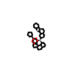 c1ccc(-c2cccc(N(c3ccc4ccc5c6ccccc6sc5c4c3)c3cccc4ccc5ccc6ccccc6c5c34)c2)cc1